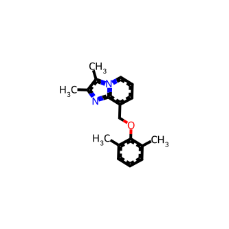 Cc1cccc(C)c1OCc1cccn2c(C)c(C)nc12